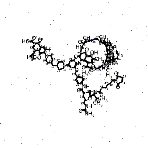 COc1c2c(cc(F)c1N1CCC(CC3CCN(c4cc(OCc5ccc(NC(=O)[C@H](CCCNC(N)=O)CC(=O)[C@@H](NC(=O)CCCCCN6C(=O)C=CC6=O)C(C)C)cc5)c5nc6c7c8c9c(C)c(O)c7c(=O)c(c-6oc5c4)NC(=O)/C(C)=C\C=C\[C@H](C)[C@H](O)[C@@H](C)[C@@H](O)[C@@H](C)[C@H](OC(C)=O)[C@H](C)[C@@H](OC)/C=C/O[C@@](C)(O9)C8=O)CC3)CC1)C(=O)C(C(=O)O)=CC2C1CC1